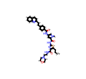 CC(C)CCc1sc(NC(=O)c2cc(NC(=O)c3ccc(C=Cc4ccc5ccccc5n4)cc3)cn2C)nc1C(=O)NCCN1CCOCC1